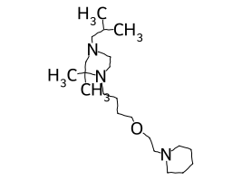 CC(C)CN1CCN(CCCCOCCN2CCCCC2)C(C)(C)C1